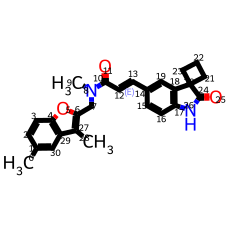 Cc1ccc2oc(CN(C)C(=O)/C=C/c3ccc4c(c3)C3(CCC3)C(=O)N4)c(C)c2c1